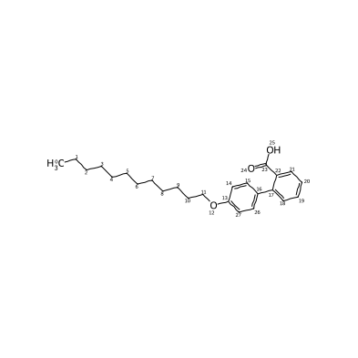 CCCCCCCCCCCCOc1ccc(-c2ccccc2C(=O)O)cc1